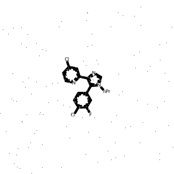 CCCn1cnc(-c2cc(Cl)ccn2)c1-c1ccc(Cl)c(F)c1